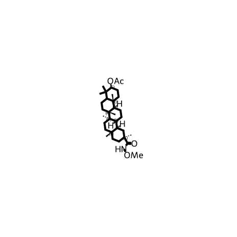 CONC(=O)[C@@]1(C)CC[C@]2(C)CC[C@]3(C)[C@H](CC[C@@H]4[C@@]5(C)CC[C@H](OC(C)=O)C(C)(C)C5CC[C@]43C)[C@H]2C1